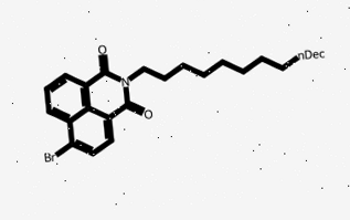 CCCCCCCCCCCCCCCCCCN1C(=O)c2cccc3c(Br)ccc(c23)C1=O